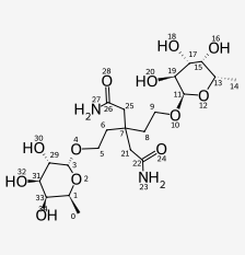 C[C@@H]1O[C@@H](OCCC(CCO[C@@H]2O[C@@H](C)[C@@H](O)[C@@H](O)[C@@H]2O)(CC(N)=O)CC(N)=O)[C@@H](O)[C@H](O)[C@@H]1O